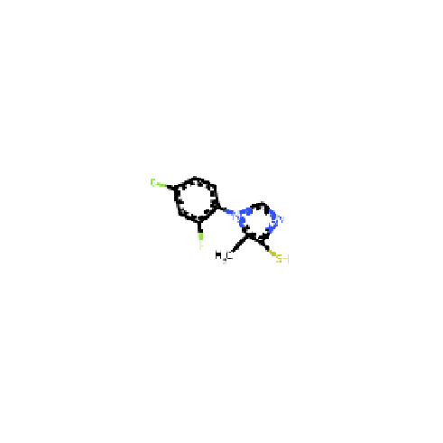 Cc1c(S)ncn1-c1ccc(F)cc1F